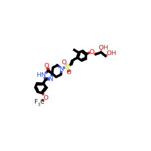 Cc1cc(OC[C@H](O)CO)ccc1/C=C/S(=O)(=O)N1CCC2(CC1)N=C(c1cccc(OC(F)(F)F)c1)NC2=O